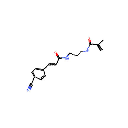 C=C(C)C(=O)NCCCNC(=O)C=Cc1ccc(C#N)cc1